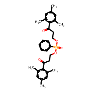 Cc1cc(C)c(C(=O)CCOP(=O)(OCCC(=O)c2c(C)cc(C)cc2C)c2ccccc2)c(C)c1